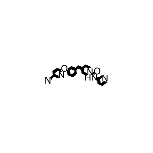 N#Cc1ccc(Oc2cccc(C=C3CCN(C(=O)Nc4cccnc4)CC3)c2)nc1